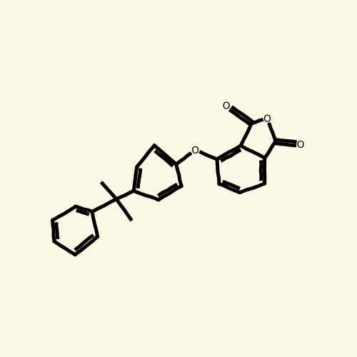 CC(C)(c1ccccc1)c1ccc(Oc2cccc3c2C(=O)OC3=O)cc1